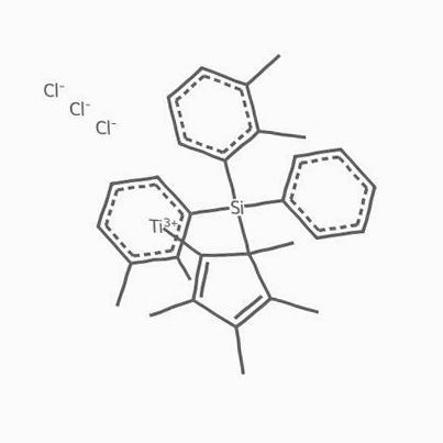 CC1=C(C)C(C)([Si](c2ccccc2)(c2cccc(C)c2C)c2cccc(C)c2C)[C]([Ti+3])=C1C.[Cl-].[Cl-].[Cl-]